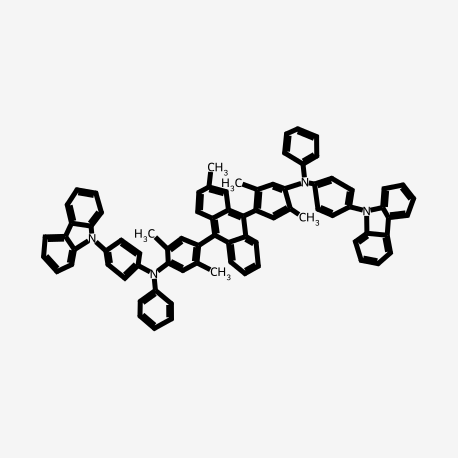 Cc1ccc2c(-c3cc(C)c(N(c4ccccc4)c4ccc(-n5c6ccccc6c6ccccc65)cc4)cc3C)c3ccccc3c(-c3cc(C)c(N(c4ccccc4)c4ccc(-n5c6ccccc6c6ccccc65)cc4)cc3C)c2c1